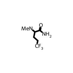 CNC(CCC(F)(F)F)C(N)=O